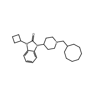 O=c1n(C2CCC2)c2ccccc2n1C1CCN(CC2CCCCCCC2)CC1